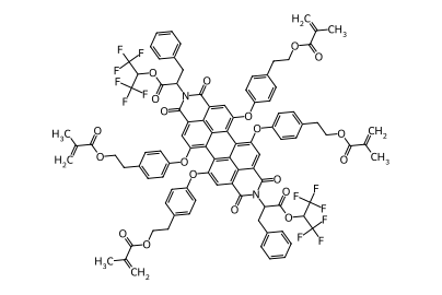 C=C(C)C(=O)OCCc1ccc(Oc2cc3c4c(cc(Oc5ccc(CCOC(=O)C(=C)C)cc5)c5c6c(Oc7ccc(CCOC(=O)C(=C)C)cc7)cc7c8c(cc(Oc9ccc(CCOC(=O)C(=C)C)cc9)c(c2c45)c86)C(=O)N(C(Cc2ccccc2)C(=O)OC(C(F)(F)F)C(F)(F)F)C7=O)C(=O)N(C(Cc2ccccc2)C(=O)OC(C(F)(F)F)C(F)(F)F)C3=O)cc1